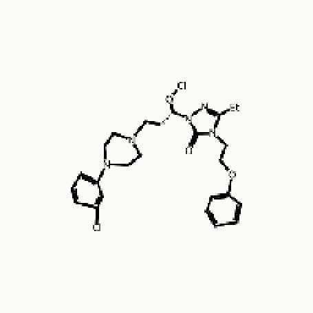 CCc1nn([C@H](CCN2CCN(c3cccc(Cl)c3)CC2)OCl)c(=O)n1CCOc1ccccc1